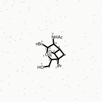 CCCCC1OC(CO)C2(C(C)C)CC(C1NC(C)=O)C2O